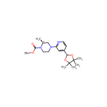 C[C@H]1CN(c2cc(B3OC(C)(C)C(C)(C)O3)ccn2)CCN1C(=O)OC(C)(C)C